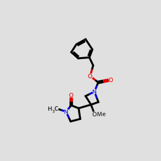 COC1(C2CCN(C)C2=O)CN(C(=O)OCc2ccccc2)C1